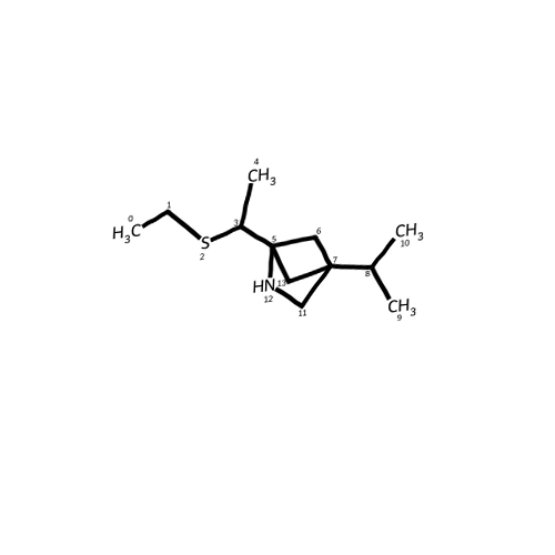 CCSC(C)C12CC(C(C)C)(CN1)C2